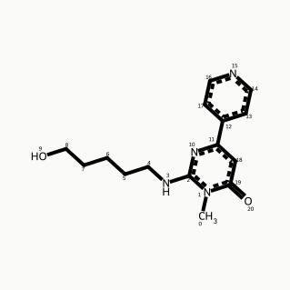 Cn1c(NCCCCCO)nc(-c2ccncc2)cc1=O